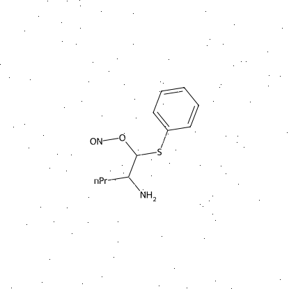 CCCC(N)C(ON=O)Sc1ccccc1